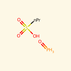 CCCS(=O)(=O)O.O=[PH3]